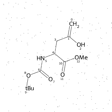 C=C(O)CC(NC(=O)OC(C)(C)C)C(=O)OC